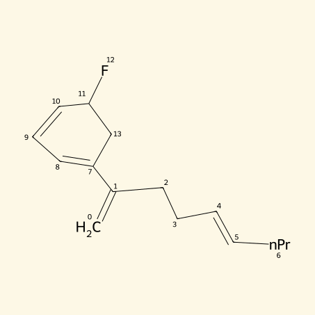 C=C(CCC=CCCC)C1=CC=CC(F)C1